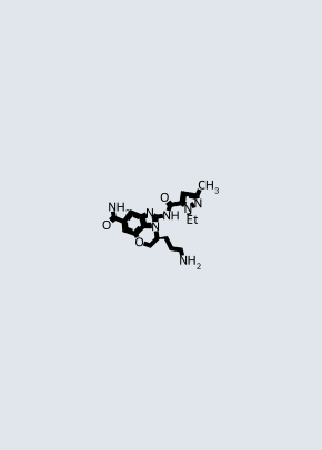 CCn1nc(C)cc1C(=O)Nc1nc2cc(C(N)=O)cc3c2n1[C@@H](CCCN)CO3